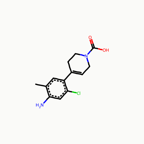 Cc1cc(C2=CCN(C(=O)O)CC2)c(Cl)cc1N